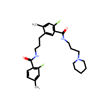 Cc1ccc(C(=O)NCCCc2cc(C(=O)NCCCN3CCCCC3)c(F)cc2C)c(F)c1